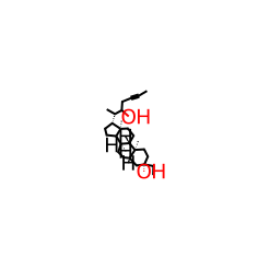 CC#CCC(O)C(C)[C@H]1CC[C@H]2[C@@H]3CC[C@H]4C[C@](O)(CC)CC[C@]4(C)[C@H]3CC[C@]12C